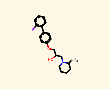 CC1CCCCN1CC(O)COc1ccc(-c2ccccc2I)cc1